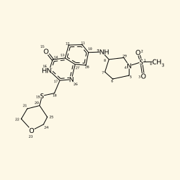 CS(=O)(=O)N1CCCC(Nc2ccc3c(=O)[nH]c(CSC4CCOCC4)nc3c2)C1